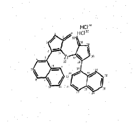 C=C1C=CC(c2cccc3ccccc23)=[C]1[Zr][C]1=C(c2cccc3ccccc23)C=CC1=C.Cl.Cl